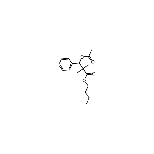 CCCCOC(=O)C(C)(C)C(OC(C)=O)c1ccccc1